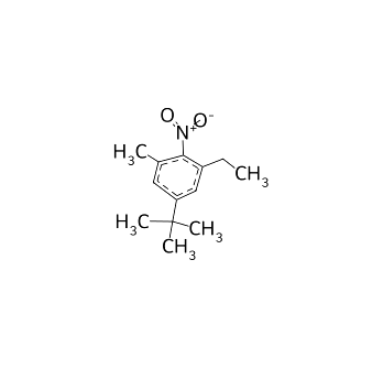 CCc1cc(C(C)(C)C)cc(C)c1[N+](=O)[O-]